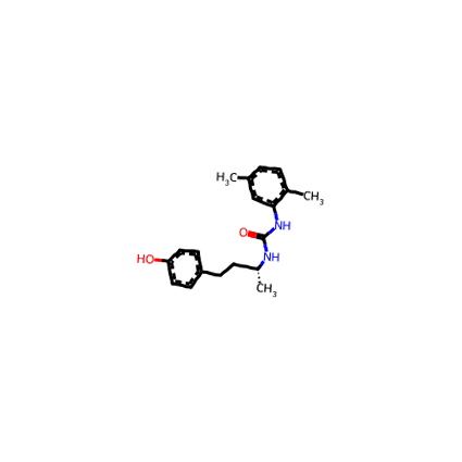 Cc1ccc(C)c(NC(=O)N[C@H](C)CCc2ccc(O)cc2)c1